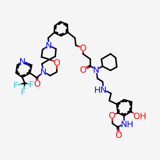 O=C1COc2c(CCNCCN(C(=O)CCOCCc3cccc(CN4CCC5(CC4)CN(C(=O)c4cnccc4C(F)(F)F)CCO5)c3)C3CCCCC3)ccc(O)c2N1